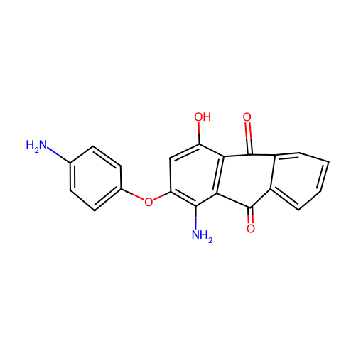 Nc1ccc(Oc2cc(O)c3c(c2N)C(=O)c2ccccc2C3=O)cc1